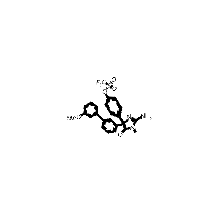 COc1cccc(-c2cccc(C3(c4ccc(OS(=O)(=O)C(F)(F)F)cc4)N=C(N)N(C)C3=O)c2)c1